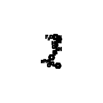 CCCN(C(=O)OCc1ccccc1)C1CCC(N2CC(NC(=O)CNc3ncnc4ccc(C(F)(F)F)cc34)C2)CC1